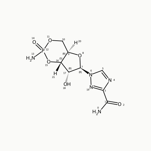 NC(=O)c1ncn([C@@H]2O[C@@H]3COP(N)(=O)O[C@H]3[C@H]2O)n1